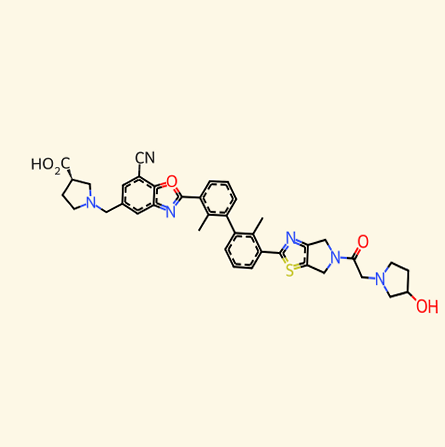 Cc1c(-c2nc3cc(CN4CC[C@@H](C(=O)O)C4)cc(C#N)c3o2)cccc1-c1cccc(-c2nc3c(s2)CN(C(=O)CN2CCC(O)C2)C3)c1C